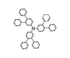 C1=CC(c2cc(N(c3ccc(-c4ccccc4)c(-c4ccccc4)c3)c3ccc(-c4ccccc4)c(-c4ccccc4)c3)ccc2-c2ccccc2)=CCC1